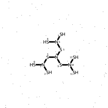 SN(S)SN(SN(S)S)SN(S)S